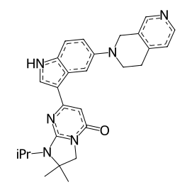 CC(C)N1c2nc(-c3c[nH]c4ccc(N5CCc6ccncc6C5)cc34)cc(=O)n2CC1(C)C